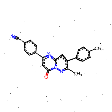 Cc1ccc(-c2cc3nc(-c4ccc(C#N)cc4)cc(=O)n3nc2C)cc1